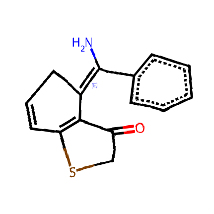 N/C(=C1\CC=CC2=C1C(=O)CS2)c1ccccc1